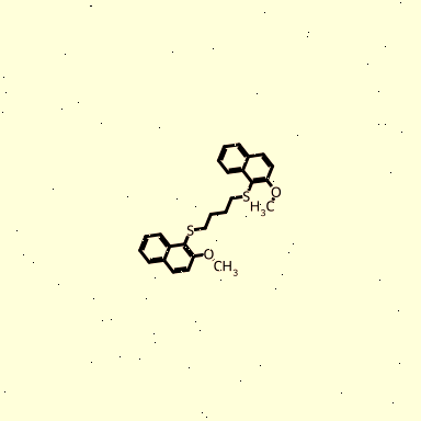 COc1ccc2ccccc2c1SCCCCSc1c(OC)ccc2ccccc12